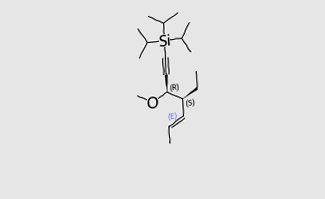 C/C=C/[C@H](CC)[C@H](C#C[Si](C(C)C)(C(C)C)C(C)C)OC